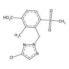 Cc1c(C(=O)O)ccc(S(C)(=O)=O)c1Cn1ncc(Cl)n1